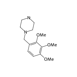 COc1ccc(CN2CC[N]CC2)c(OC)c1OC